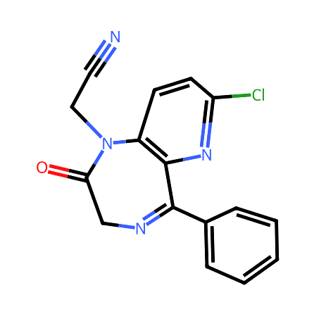 N#CCN1C(=O)CN=C(c2ccccc2)c2nc(Cl)ccc21